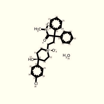 CN(C)C(=O)C(CC[N@+]1([O-])CC[C@@](O)(c2ccc(Cl)cc2)CC1)(c1ccccc1)c1ccccc1.O